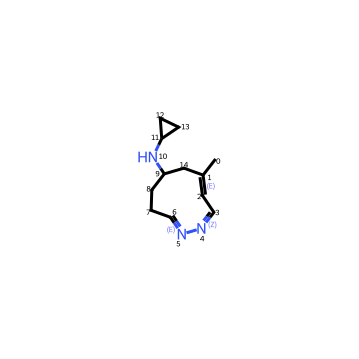 C\C1=C/C=N\N=C\CCC(NC2CC2)C1